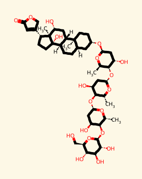 C[C@H]1O[C@@H](O[C@H]2CC[C@@]3(C)[C@H](CC[C@@H]4[C@@H]3C[C@@H](O)[C@]3(C)[C@@H](C5=CC(=O)OC5)CC[C@]43O)C2)C[C@H](O)[C@@H]1O[C@H]1C[C@H](O)[C@H](O[C@H]2C[C@H](O)[C@H](O[C@@H]3O[C@H](CO)[C@@H](O)[C@H](O)[C@H]3O)[C@@H](C)O2)[C@@H](C)O1